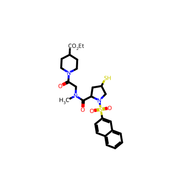 CCOC(=O)C1CCN(C(=O)CN(C)C(=O)C2CC(S)CN2S(=O)(=O)c2ccc3ccccc3c2)CC1